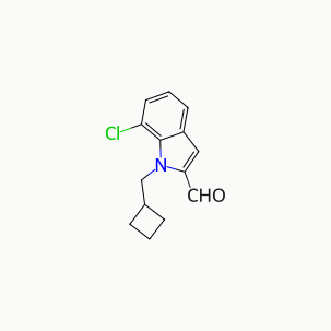 O=Cc1cc2cccc(Cl)c2n1CC1CCC1